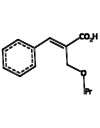 CC(C)OCC(=Cc1ccccc1)C(=O)O